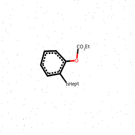 CCCCCCCc1ccccc1OC(=O)OCC